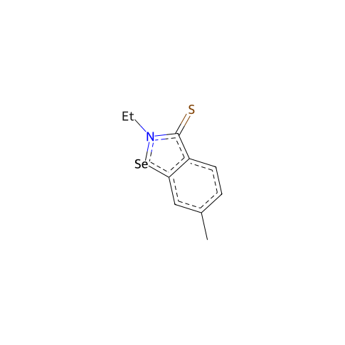 CCn1[se]c2cc(C)ccc2c1=S